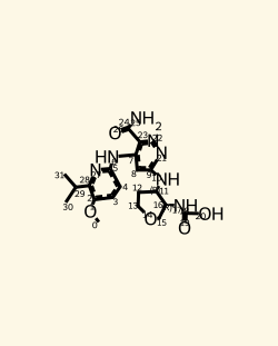 COc1ccc(Nc2cc(N[C@@H]3CCOC[C@@H]3NC(=O)O)nnc2C(N)=O)nc1C(C)C